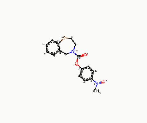 C[N+](=O)c1ccc(OC(=O)N2CCSc3ccccc3C2)cc1